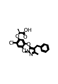 Cc1nn(C)c(Oc2cc(O[C@@H](C)C(=O)O)c(Cl)cc2Cl)c1Cc1ccccc1